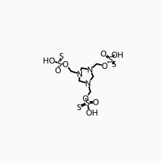 O=S(O)(=S)OCN1CN(COS(=O)(O)=S)CN(COS(=O)(O)=S)C1